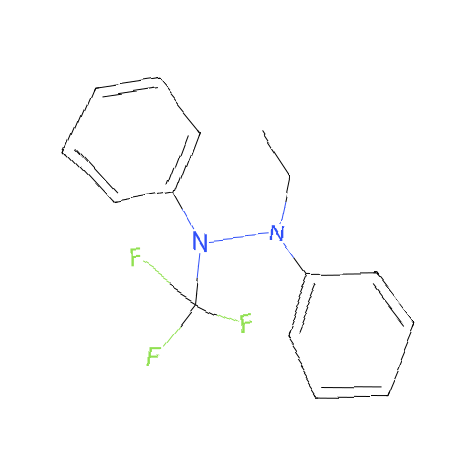 CCN(c1ccccc1)N(c1ccccc1)C(F)(F)F